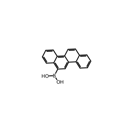 OB(O)c1cc2c3ccccc3ccc2c2ccccc12